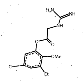 CCc1cc(Cl)cc(OC(=O)CNC(=N)N)c1OC